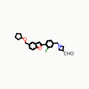 O=CC1CN(Cc2ccc(-c3cc4cc(COC5CCCC5)ccc4o3)c(F)c2)C1